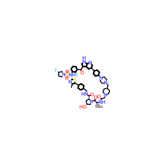 Cc1ncsc1-c1ccc(CNC(=O)[C@@H]2C[C@@H](O)CN2C(=O)[C@@H](NC(=O)CN2CCC(CN3CCN(c4ccc(-c5cnc6[nH]cc(C(=O)c7cccc(NS(=O)(=O)N8CC[C@@H](F)C8)c7F)c6c5)cc4)CC3)CC2)C(C)(C)C)cc1